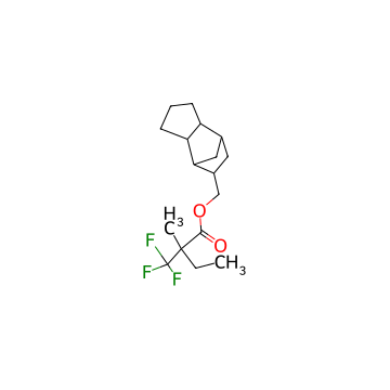 CCC(C)(C(=O)OCC1CC2CC1C1CCCC21)C(F)(F)F